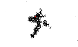 CCCCc1c(CCCC)c(-c2cc3c(cc2C(=O)N2Cc4ccccc4C[C@H]2C)CN(C(=O)Cc2ccc(OCCN(C)C)cc2)CC3)n(C)c1C.NC=O